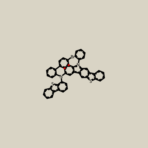 Brc1ccc(-c2ccccc2N(c2ccc3c(c2)c2cc4sc5ccccc5c4cc2n3-c2ccccc2)c2cccc3c2sc2ccccc23)cc1